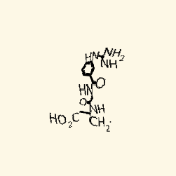 [CH2][C@@H](CC(=O)O)NC(=O)CNC(=O)c1cccc(NC(=N)N)c1